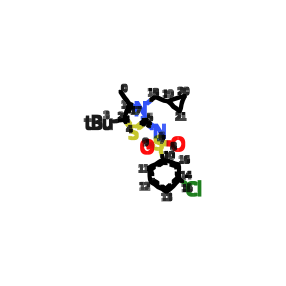 Cc1c(C(C)(C)C)s/c(=N\S(=O)(=O)c2cccc(Cl)c2)n1CC1CC1